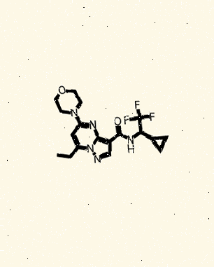 CCc1cc(N2CCOCC2)nc2c(C(=O)NC(C3CC3)C(F)(F)F)cnn12